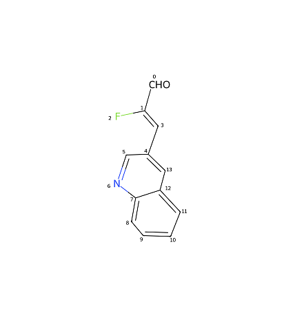 O=C/C(F)=C/c1cnc2ccccc2c1